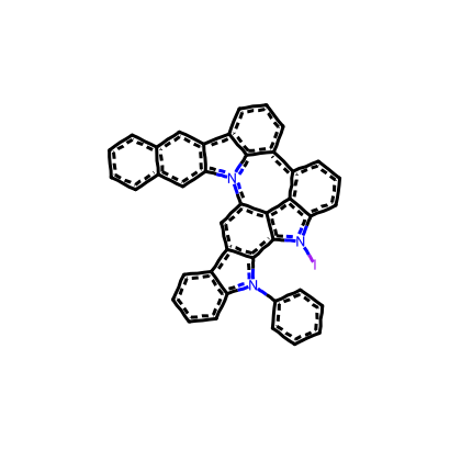 In1c2cccc3c4cccc5c6cc7ccccc7cc6n(c6cc7c8ccccc8n(-c8ccccc8)c7c1c6c32)c45